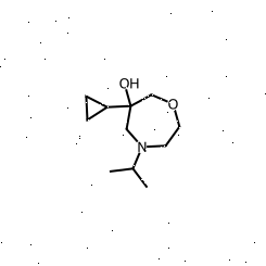 CC(C)N1CCOCC(O)(C2CC2)C1